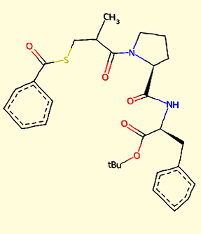 CC(CSC(=O)c1ccccc1)C(=O)N1CCC[C@H]1C(=O)N[C@@H](Cc1ccccc1)C(=O)OC(C)(C)C